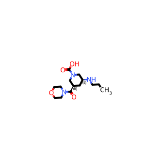 CCCN[C@H]1C[C@@H](C(=O)N2CCOCC2)CN(C(=O)O)C1